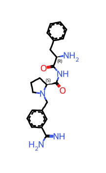 N=C(N)c1cccc(CN2CCC[C@H]2C(=O)NC(=O)[C@H](N)Cc2ccccc2)c1